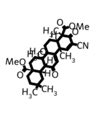 COC(=O)[C@]12CCC(C)(C)C[C@H]1[C@H]1C(=O)C=C3[C@@]4(C)C=C(C#N)C(=O)[C@@](C)(C(=O)OC)[C@@H]4CC[C@@]3(C)[C@]1(C)CC2